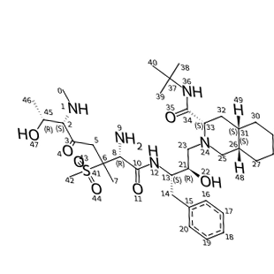 CN[C@H](C(=O)CC(C)([C@H](N)C(=O)N[C@@H](Cc1ccccc1)[C@H](O)CN1C[C@H]2CCCC[C@H]2C[C@H]1C(=O)NC(C)(C)C)S(C)(=O)=O)[C@@H](C)O